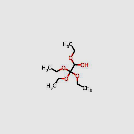 CCOC(O)C(OCC)(OCC)OCC